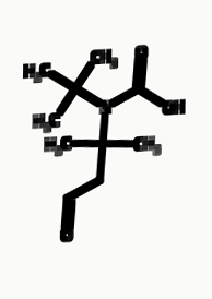 CC(C)(C)N(C(=O)O)C(C)(C)CC=O